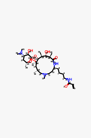 C=CC(=O)NCCCC[C@H]1CCN(C)C[C@H](C)C[C@@](C)(O)[C@H](O[C@@H]2O[C@H](C)C[C@H](N(C)C)[C@H]2O)[C@@H](C)[C@H](O)[C@@H](C)C(=O)N1